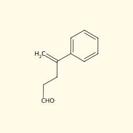 C=C(CC[C]=O)c1ccccc1